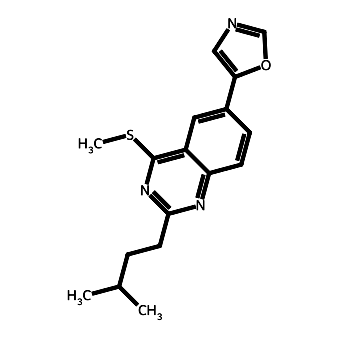 CSc1nc(CCC(C)C)nc2ccc(-c3cnco3)cc12